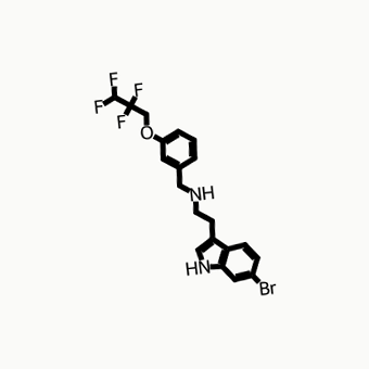 FC(F)C(F)(F)COc1cccc(CNCCc2c[nH]c3cc(Br)ccc23)c1